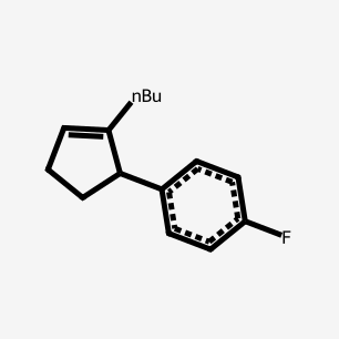 CCCCC1=CCCC1c1ccc(F)cc1